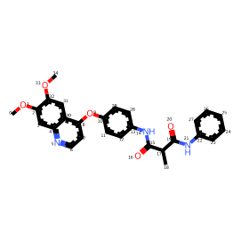 COc1cc2nccc(Oc3ccc(NC(=O)C(C)C(=O)Nc4ccccc4)cc3)c2cc1OC